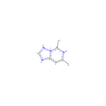 Cc1cc2ncnn2c(C)n1